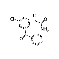 NC(=O)CCl.O=C(c1ccccc1)c1cccc(Cl)c1